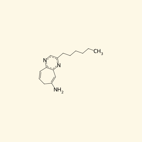 CCCCCCc1cnc2c(n1)C=C(N)CC=C2